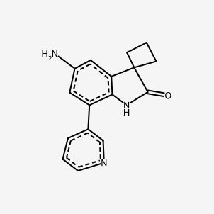 Nc1cc(-c2cccnc2)c2c(c1)C1(CCC1)C(=O)N2